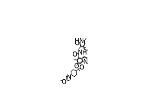 COC1CN(C2CCC(C3(C)Oc4c(C)c(C(=O)NCc5c(SC)cc(C)[nH]c5=O)c5ccn(C)c5c4O3)CC2)C1